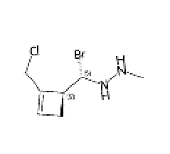 CNN[C@@H](Br)[C@H]1CC=C1CCl